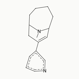 CN1C2C=C(c3cccnc3)CC1CCCC2